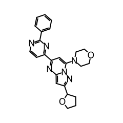 c1ccc(-c2nccc(-c3cc(N4CCOCC4)n4nc(C5CCCO5)cc4n3)n2)cc1